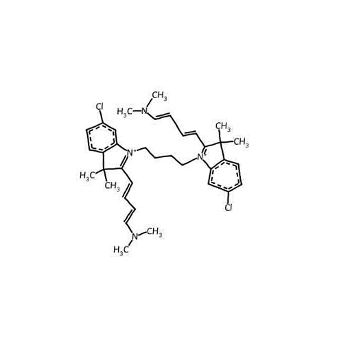 CN(C)C=CC=CC1=[N+](CCCC[N+]2=C(C=CC=CN(C)C)C(C)(C)c3ccc(Cl)cc32)c2cc(Cl)ccc2C1(C)C